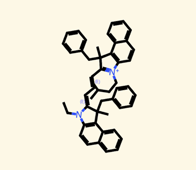 CCN1/C(=C/C=C/C2=[N+](CCC(C)C)c3ccc4ccccc4c3C2(C)Cc2ccccc2)C(C)(Cc2ccccc2)c2c1ccc1ccccc21